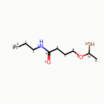 CC(C)CCNC(=O)CCCOC(C)S